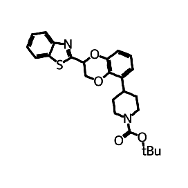 CC(C)(C)OC(=O)N1CCC(c2cccc3c2OCC(c2nc4ccccc4s2)O3)CC1